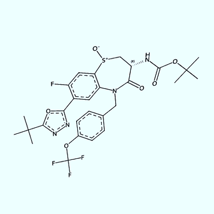 CC(C)(C)OC(=O)N[C@H]1C[S+]([O-])c2cc(F)c(-c3nnc(C(C)(C)C)o3)cc2N(Cc2ccc(OC(F)(F)F)cc2)C1=O